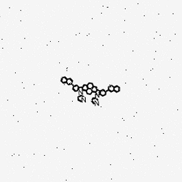 C1=C(c2ccc3ccccc3c2)CCc2c1c1cc3c4c(c1n2-c1cccnc1)CCc1c-4c(cc2c4cc(-c5ccc6ccccc6c5)ccc4n(-c4cccnc4)c12)CC3